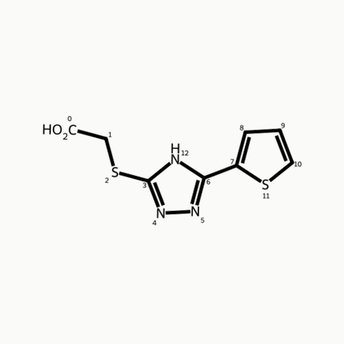 O=C(O)CSc1nnc(-c2cccs2)[nH]1